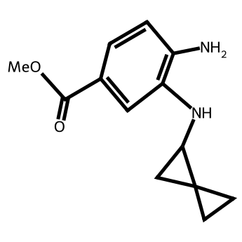 COC(=O)c1ccc(N)c(NC2CC23CC3)c1